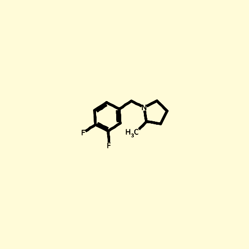 CC1CCCN1Cc1ccc(F)c(F)c1